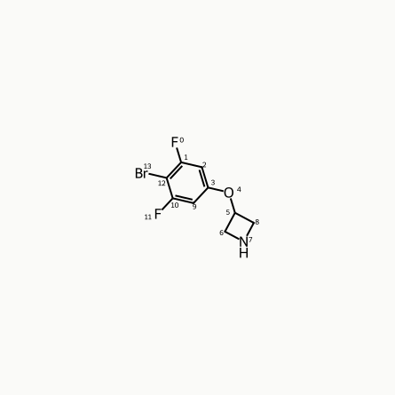 Fc1cc(OC2CNC2)cc(F)c1Br